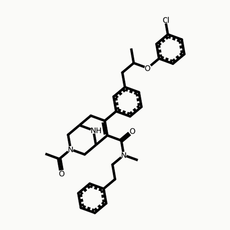 CC(=O)N1CC2CC(c3cccc(CC(C)Oc4cccc(Cl)c4)c3)=C(C(=O)N(C)CCc3ccccc3)C(C1)N2